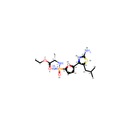 CCOC(=O)[C@H](C)NP(N)(=O)c1ccc(-c2nc(N)sc2CC(C)C)o1